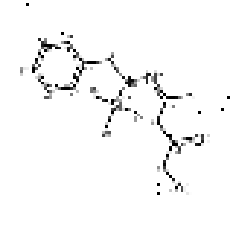 CC(=O)CC(=O)CC(C)=NN(Cc1ccccc1)[Si](C)(C)C